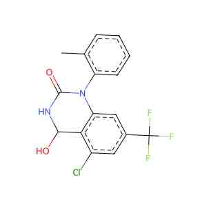 Cc1ccccc1N1C(=O)NC(O)c2c(Cl)cc(C(F)(F)F)cc21